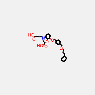 O=C(O)CCCN1CC(C(=O)O)Oc2c(OCc3ccc(COCCCc4ccccc4)cc3)cccc21